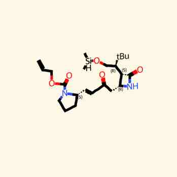 C=CCOC(=O)N1CCC[C@H]1C=CC(=O)C[C@H]1NC(=O)[C@H]1[C@@H](CO[SiH](C)C)C(C)(C)C